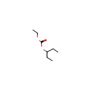 CCOC(=O)OC(CC)CC